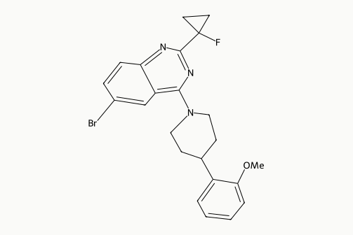 COc1ccccc1C1CCN(c2nc(C3(F)CC3)nc3ccc(Br)cc23)CC1